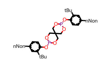 CCCCCCCCCc1ccc(OP2OCC3(CO2)COP(Oc2ccc(CCCCCCCCC)cc2C(C)(C)C)OC3)c(C(C)(C)C)c1